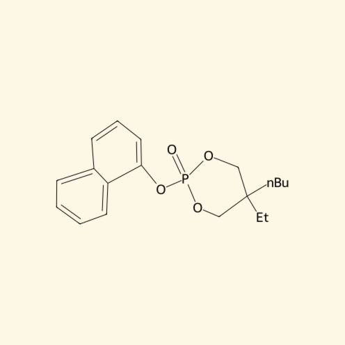 CCCCC1(CC)COP(=O)(Oc2cccc3ccccc23)OC1